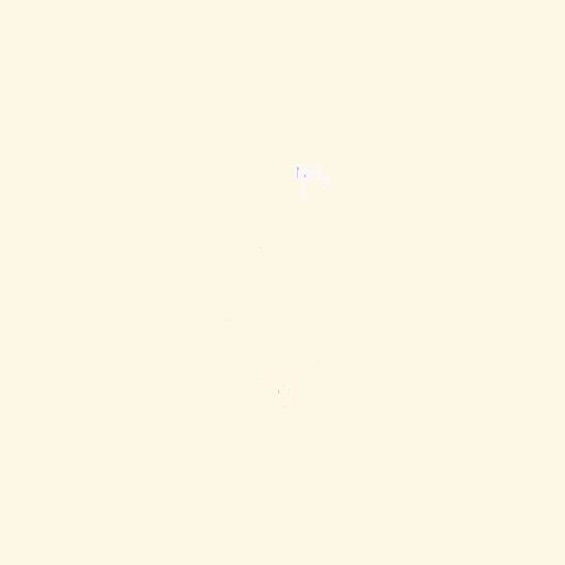 NCCC1=CSOC=C1